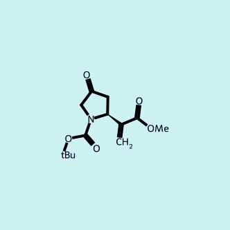 C=C(C(=O)OC)[C@@H]1CC(=O)CN1C(=O)OC(C)(C)C